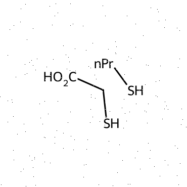 CCCS.O=C(O)CS